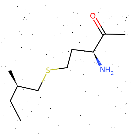 CC[C@@H](C)CSCC[C@H](N)C(C)=O